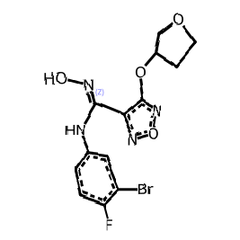 O/N=C(\Nc1ccc(F)c(Br)c1)c1nonc1OC1CCOC1